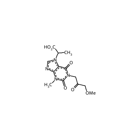 COCC(=O)Cn1c(=O)c2c(ncn2C(C)C(=O)O)n(C)c1=O